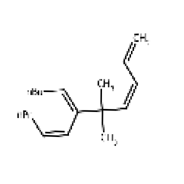 C=C/C=C\C(C)(C)C(/C=C\CCC)=C/CCCC